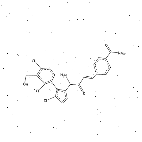 CNC(=O)c1ccc(/C=C/C(=O)C(N)c2ccc(Cl)n2-c2ccc(Cl)c(CO)c2Cl)cc1